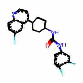 O=C(Nc1ccc(F)c(F)c1)NC1CCC(c2ccnc3ccc(F)cc23)CC1